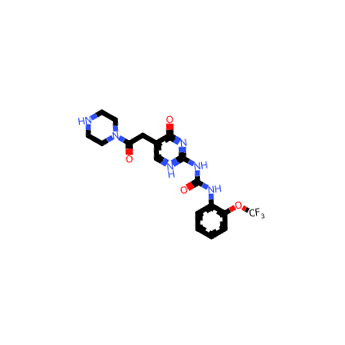 O=C(Nc1nc(=O)c(CC(=O)N2CCNCC2)c[nH]1)Nc1ccccc1OC(F)(F)F